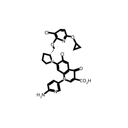 Nc1ccc(-n2cc(C(=O)O)c(=O)c3cc(Cl)c(N4CCC[C@@H]4COc4nc(OC5CC5)ccc4Cl)cc32)cn1